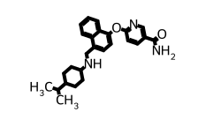 CC(C)C1CCC(NCc2ccc(Oc3ccc(C(N)=O)cn3)c3ccccc23)CC1